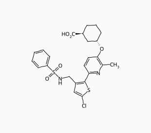 Cc1nc(-c2sc(Cl)cc2CNS(=O)(=O)c2ccccc2)ccc1O[C@H]1CCC[C@H](C(=O)O)C1